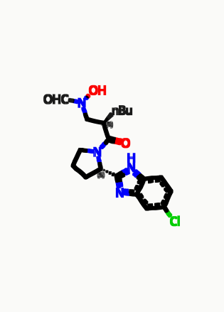 CCCC[C@H](CN(O)C=O)C(=O)N1CCC[C@H]1c1nc2cc(Cl)ccc2[nH]1